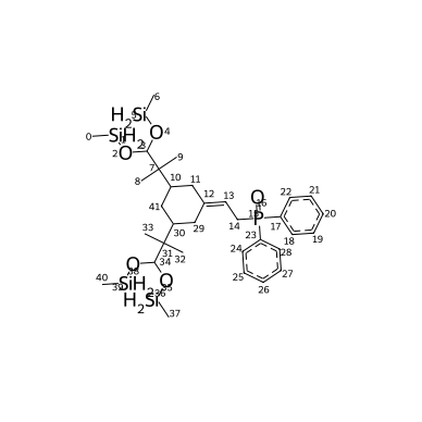 C[SiH2]OC(O[SiH2]C)C(C)(C)C1CC(=CCP(=O)(c2ccccc2)c2ccccc2)CC(C(C)(C)C(O[SiH2]C)O[SiH2]C)C1